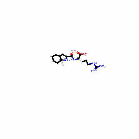 N=C(N)NCCC[C@H](NC(=O)C1CC2CCCC[C@@H]2N1)C(=O)O